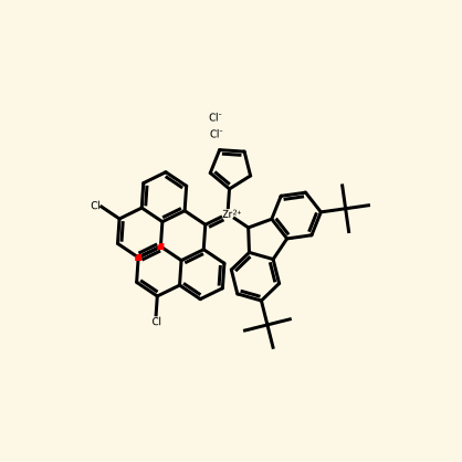 CC(C)(C)c1ccc2c(c1)-c1cc(C(C)(C)C)ccc1[CH]2[Zr+2]([C]1=CC=CC1)=[C](c1cccc2c(Cl)cccc12)c1cccc2c(Cl)cccc12.[Cl-].[Cl-]